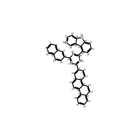 c1ccc2cc(-c3nc(-c4ccc5c(ccc6c7ccccc7ccc56)c4)nc(-c4cccc5oc6ccncc6c45)n3)ccc2c1